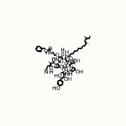 CC[C@H](C)C[C@H](C)CCCCCCCCC(=O)N[C@@H](C[C@@H](O)[C@H](NC(=O)[C@@H]1[C@@H](O)CCN1C(=O)[C@@H](C)[C@H](O)CC#N)OCCNC(=O)OCc1ccccc1)C(=O)N[C@H](C(=O)N1C[C@H](O)C[C@H]1C(=O)N[C@H](C(C)=O)[C@H](O)[C@@H](O)c1ccc(O)cc1)[C@@H](C)O